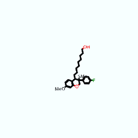 COc1ccc2c(c1)OCC(SC)(c1ccc(F)cc1)C2CCCCCCCCCO